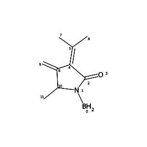 BN1C(=O)C(=C(C)C)C(=C)C1C